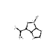 CC(C)C1C[S+]([O-])C2CCSC12